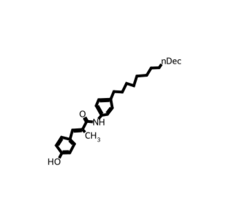 CCCCCCCCCCCCCCCCCCc1ccc(NC(=O)/C(C)=C/c2ccc(O)cc2)cc1